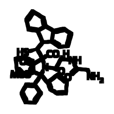 COC(=O)C(C(=O)O)([C@@H](S)C1c2ccccc2-c2ccccc21)N(C(=O)CNC(=O)CN)C(c1ccccc1)(c1ccccc1)c1ccccc1